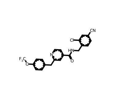 N#Cc1ccc(CNC(=O)c2ccnc(Cc3ccc(OC(F)(F)F)cc3)c2)c(Cl)c1